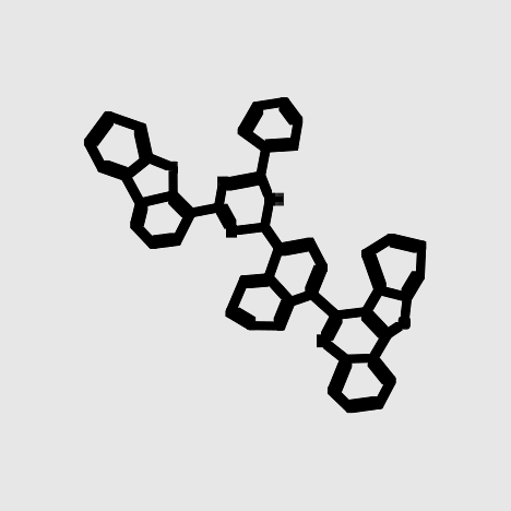 c1ccc(C2=NC(c3cccc4c3sc3ccccc34)=NC(c3ccc(-c4nc5ccccc5c5oc6ccccc6c45)c4ccccc34)N2)cc1